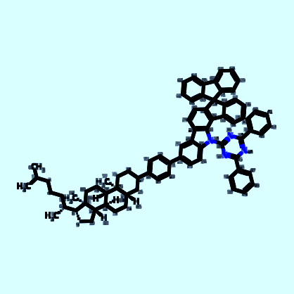 CC(C)CCC[C@@H](C)[C@H]1CC[C@H]2[C@@H]3CC[C@H]4CC(c5ccc(-c6ccc7c(c6)c6ccc8c(c6n7-c6nc(-c7ccccc7)nc(-c7ccccc7)n6)-c6ccccc6C86c7ccccc7-c7ccccc76)cc5)CC[C@]4(C)[C@H]3CC[C@]12C